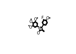 C=C1C(=O)N(c2cc(OC)c(OC)c(OC)c2)C1c1ccc(OC)c(F)c1